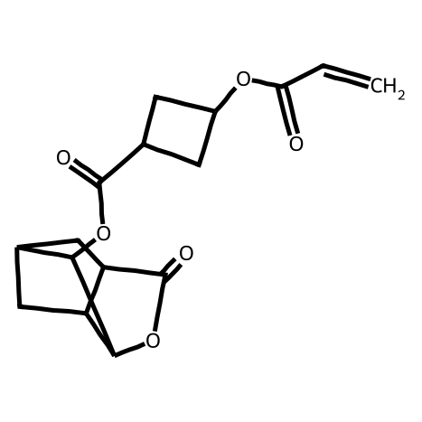 C=CC(=O)OC1CC(C(=O)OC2C3CC4C(=O)OC2C4C3)C1